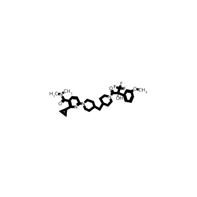 COc1cccc([C@@](O)(C(=O)N2CCC(CC3CCN(c4ccc(C(=O)N(C)C)c(C5CC5)n4)CC3)CC2)C(F)(F)F)c1